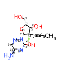 CC#CC1(F)C(O)[C@@H](CO)O[C@H]1N1N=CC(N)=NC1O